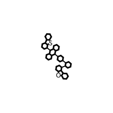 c1ccc(-c2cccc3oc4ccccc4c23)c(-c2ccc(-c3c4ccccc4c(-c4cccc5c4sc4ccccc45)c4ccccc34)cc2)c1